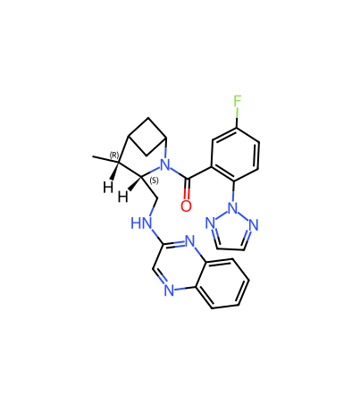 C[C@@H]1C2CC(C2)N(C(=O)c2cc(F)ccc2-n2nccn2)[C@@H]1CNc1cnc2ccccc2n1